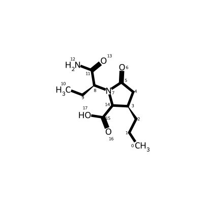 CCC[C@@H]1CC(=O)N([C@@H](CC)C(N)=O)C1C(=O)O